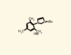 Br.CCCCN1C=CN(c2c(C)cc(C)cc2C)C1